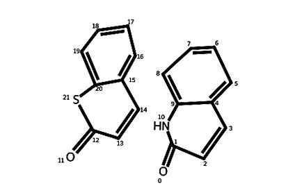 O=c1ccc2ccccc2[nH]1.O=c1ccc2ccccc2s1